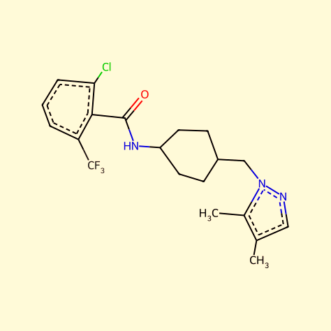 Cc1cnn(CC2CCC(NC(=O)c3c(Cl)cccc3C(F)(F)F)CC2)c1C